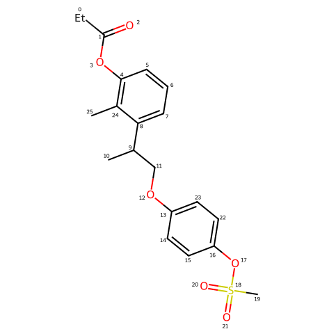 CCC(=O)Oc1cccc(C(C)COc2ccc(OS(C)(=O)=O)cc2)c1C